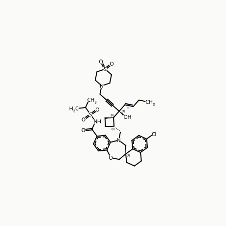 CC/C=C/[C@@](O)(C#CCN1CCS(=O)(=O)CC1)[C@@H]1CC[C@H]1CN1C[C@@]2(CCCc3cc(Cl)ccc32)COc2ccc(C(=O)NS(=O)(=O)C(C)C)cc21